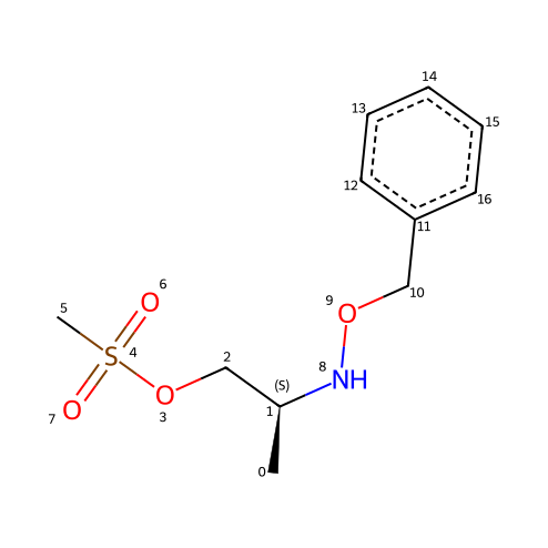 C[C@@H](COS(C)(=O)=O)NOCc1ccccc1